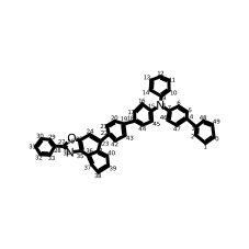 c1ccc(-c2ccc(N(c3ccccc3)c3ccc(-c4ccc(-c5cc6oc(-c7ccccc7)nc6c6ccccc56)cc4)cc3)cc2)cc1